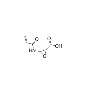 C=CC(=O)NC1OC1C(=O)O